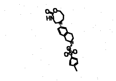 Cc1ccc(S(=O)(=O)OC[C@H]2CCc3cc([C@H]4CCCOC(=O)NC4)ccc3C2)cc1